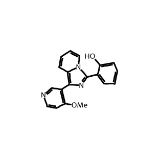 COc1ccncc1-c1nc(-c2ccccc2O)n2ccccc12